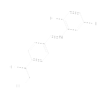 CCC(C)c1ccc(C=Nc2cc(Cl)ccc2O)cc1